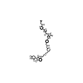 O=C1CCC(N2C(=O)c3cccc(NCCOCCN4CCO[C@H](CNCc5ccc(-n6cc(NC(=O)c7coc(-c8ccnc(NCC9CC9)c8)n7)c(C(F)F)n6)cc5)C4)c3C2=O)C(=O)N1